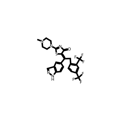 CN1CCN(C2=NC(=O)C(=C(Cc3ccc(C(F)(F)F)cc3C(F)(F)F)c3ccc4[nH]ncc4c3)S2)CC1